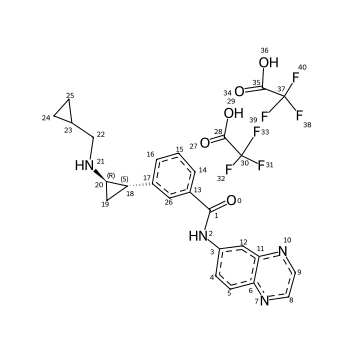 O=C(Nc1ccc2nccnc2c1)c1cccc([C@@H]2C[C@H]2NCC2CC2)c1.O=C(O)C(F)(F)F.O=C(O)C(F)(F)F